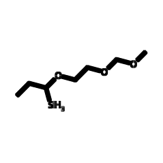 CCC([SiH3])OCCOCOC